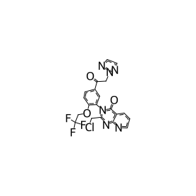 O=C(Cn1nccn1)c1ccc(OCC(F)(F)F)c(-n2c(CCl)nc3ncccc3c2=O)c1